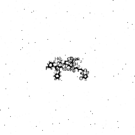 CC(C)[C@H](NC(=O)CCCC(=O)ON1C(=O)CCC1=O)C(=O)N([C@@H](C)C(N)=O)[C@@H](CCN(C(=O)CO)[C@@H](c1cc(-c2cc(F)ccc2F)cn1Cc1ccccc1)C(C)(C)C)C(=O)O